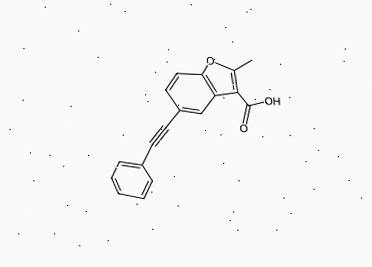 Cc1oc2ccc(C#Cc3ccccc3)cc2c1C(=O)O